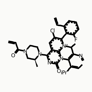 C=CC(=O)N1CCN(c2nc(=O)n3c4c2cc(Cl)c(-c2c(F)cccc2C=C)[n+]4C(C)C(N=C)=C3/C(=C\C)C(C)C)[C@@H](C)C1